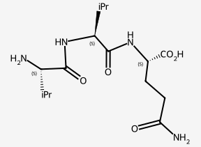 CC(C)[C@H](N)C(=O)N[C@H](C(=O)N[C@@H](CCC(N)=O)C(=O)O)C(C)C